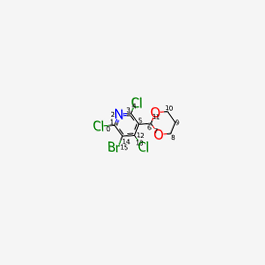 Clc1nc(Cl)c(C2OCCCO2)c(Cl)c1Br